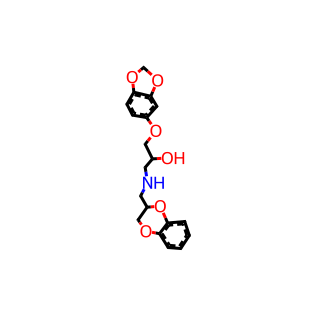 OC(CNCC1COc2ccccc2O1)COc1ccc2c(c1)OCO2